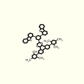 Cc1cc(C)c(-c2ccc3c4ccc(-c5c(C)cc(C)cc5C)cc4c4nc(-c5cc(-c6cccc7c6sc6ccccc67)cc(-c6cccc7c6sc6ccccc67)c5)cnc4c3c2)c(C)c1